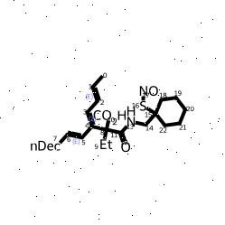 C/C=C/C=C(/C=C/CCCCCCCCCC)C(CC)(C(=O)O)C(=O)NCC1(SN=O)CCCCC1